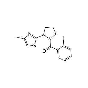 Cc1csc(C2CCCN2C(=O)c2ccccc2I)n1